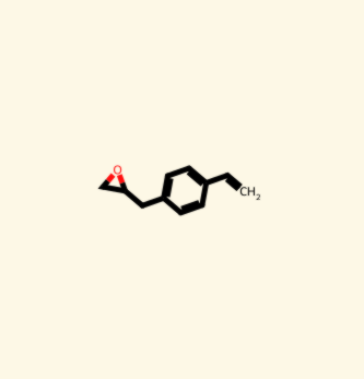 C=Cc1ccc(CC2CO2)cc1